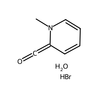 Br.CN1C=CC=CC1=C=O.O